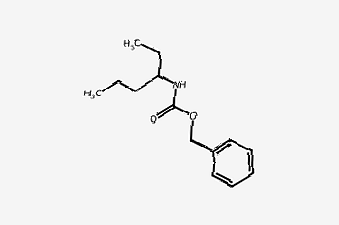 CCCC(CC)NC(=O)OCc1ccccc1